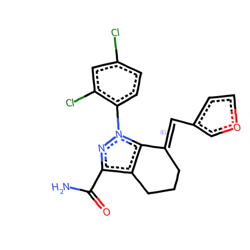 NC(=O)c1nn(-c2ccc(Cl)cc2Cl)c2c1CCC/C2=C\c1ccoc1